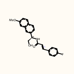 COc1ccc2ccc([C@H](CO)NC(=O)/C=C/c3ccc(F)cc3)cc2c1